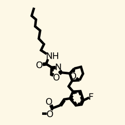 CCCCCCCCNC(=O)c1coc(C2C3CCC(O3)C2Cc2cc(F)ccc2/C=C/C(=O)OC)n1